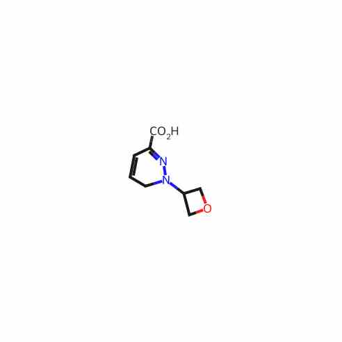 O=C(O)C1=NN(C2COC2)CC=C1